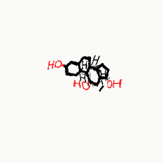 CC[C@]12C[C@@H](O)[C@H]3[C@@H](CCC4=CC(O)CC[C@@H]43)[C@@H]1CC[C@@H]2O